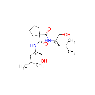 CC(C)C[C@H](CO)NC(=O)C1(C(=O)N[C@@H](CO)CC(C)C)CCCC1